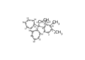 Cc1ccc(C(C)(c2ccccc2)c2ccccc2)c(C)c1C